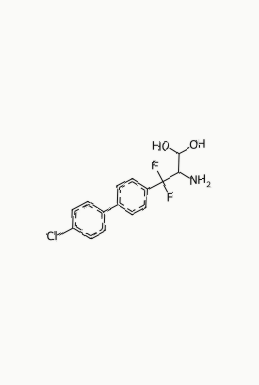 NC(C(O)O)C(F)(F)c1ccc(-c2ccc(Cl)cc2)cc1